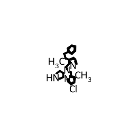 Cc1cc(Cl)cnc1CN(Cc1ncccc1C(C)Cc1ccccc1)C1CCNCC1